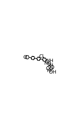 O[C@@H]1CO[C@H]2[C@@H]1OC[C@H]2Oc1nc2cc(-c3ccc(-c4ccc(C5CCOCC5)cc4)cc3)c(Cl)cc2[nH]1